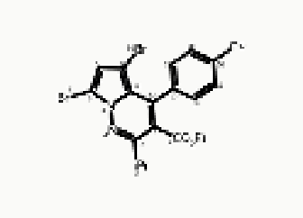 CCOC(=O)c1c(C(C)C)nn2c(Br)cc(Br)c2c1-c1ccc(F)cc1